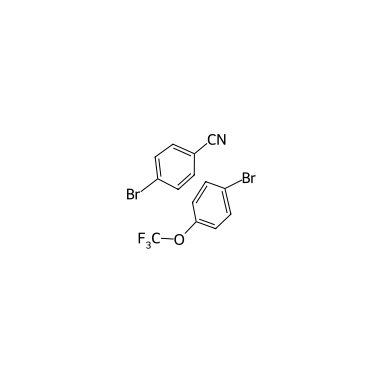 FC(F)(F)Oc1ccc(Br)cc1.N#Cc1ccc(Br)cc1